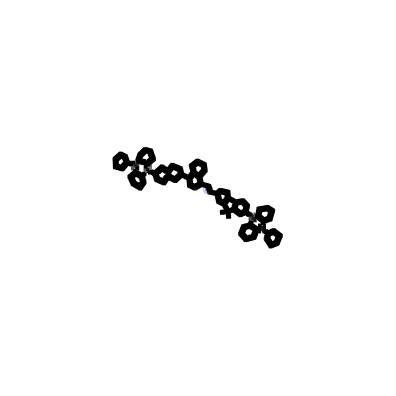 CC1(C)c2cc(/C=C/c3ccc(-c4ccc5cc(N6c7ccccc7N(c7ccccc7)c7ccccc76)ccc5c4)c4ccccc34)ccc2-c2ccc(N3c4ccccc4N(c4ccccc4)c4ccccc43)cc21